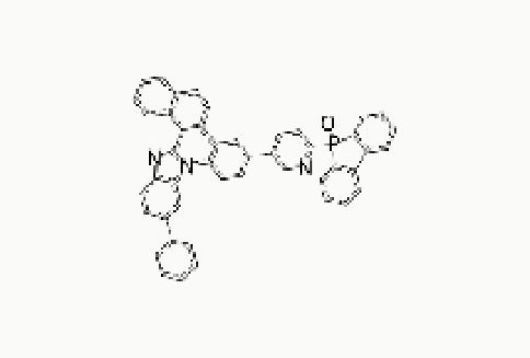 O=P1(c2ccc(-c3ccc4c(c3)c3ccc5ccccc5c3c3nc5ccc(-c6ccccc6)cc5n43)cn2)c2ccccc2-c2ccccc21